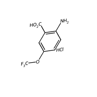 Cl.Nc1ccc(OC(F)(F)F)cc1C(=O)O